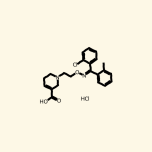 Cc1ccccc1/C(=N/OCCN1CCC=C(C(=O)O)C1)c1ccccc1Cl.Cl